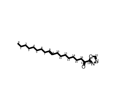 CCCCCCCC/C=C/CCCCCCCC(=O)c1nnco1